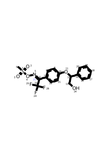 CS(=O)(=O)O/N=C(/c1ccc(OC(CO)c2ccccc2)cc1)C(F)(F)F